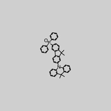 CC1(C)c2ccc(P(=O)(c3ccccc3)c3ccccc3)cc2-c2ccc(N3c4ccccc4C(C)(C)c4ccccc43)cc21